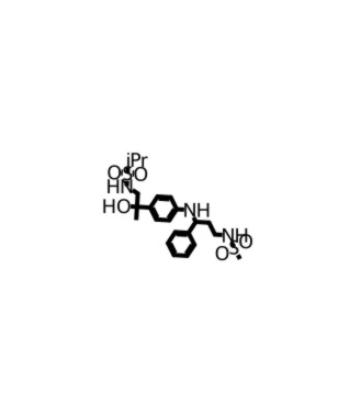 CC(C)S(=O)(=O)NCC(C)(O)c1ccc(NC(CCNS(C)(=O)=O)c2ccccc2)cc1